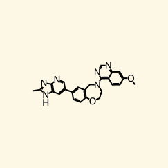 COc1ccc2c(N3CCOc4ccc(-c5cnc6nc(C)[nH]c6c5)cc4C3)ncnc2c1